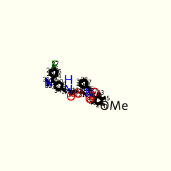 COc1cc(C)c(S(=O)(=O)N(CCOCC(=O)NCC2CCC(C(c3ccc(F)cc3)N(C)C)CC2)Cc2ccccc2)c(C)c1C